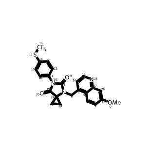 COc1ccc2c(CN3C(=O)N(c4ccc(SC(F)(F)F)cc4)C(=O)C34CC4)ccnc2c1